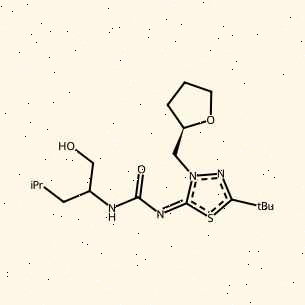 CC(C)CC(CO)NC(=O)N=c1sc(C(C)(C)C)nn1C[C@H]1CCCO1